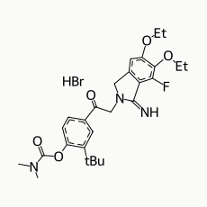 Br.CCOc1cc2c(c(F)c1OCC)C(=N)N(CC(=O)c1ccc(OC(=O)N(C)C)c(C(C)(C)C)c1)C2